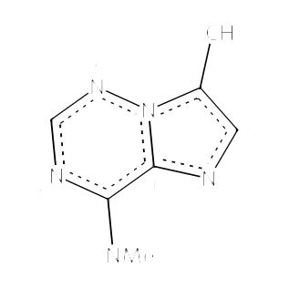 CNc1ncnn2c(C)cnc12